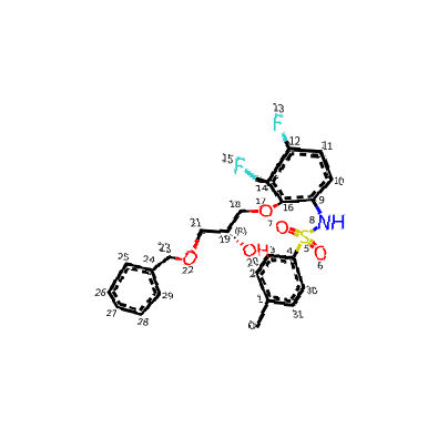 Cc1ccc(S(=O)(=O)Nc2ccc(F)c(F)c2OC[C@H](O)COCc2ccccc2)cc1